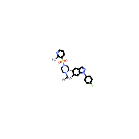 Cc1cc2c(cnn2-c2ccc(F)cc2)cc1[C@H]1CN(S(=O)(=O)c2cccnc2C(F)(F)F)CCN1CC(C)C